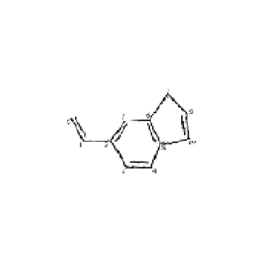 C=Cc1ccc2c(c1)[CH]C=C2